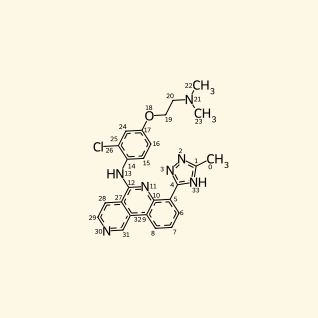 Cc1nnc(-c2cccc3c2nc(Nc2ccc(OCCN(C)C)cc2Cl)c2ccncc23)[nH]1